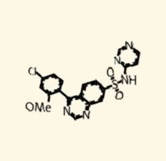 COc1cc(Cl)ccc1-c1ncnc2cc(S(=O)(=O)Nc3ccncn3)ccc12